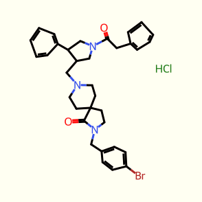 Cl.O=C(Cc1ccccc1)N1CC(CN2CCC3(CC2)CCN(Cc2ccc(Br)cc2)C3=O)C(c2ccccc2)C1